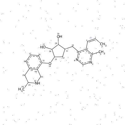 C/C=C\c1c(C)ncnc1CC1CC(Oc2cccc3c2CNC(C)C3)C(O)C1O